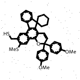 COc1ccc(C2(c3ccc(OC)cc3)C=Cc3c4c(c5cc(CS)c(SC)cc5c3O2)-c2ccccc2C42CCCCC2)cc1